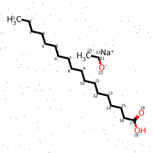 CCCCCCCCCCCCCCCCCC(=O)O.CC[O-].[Na+]